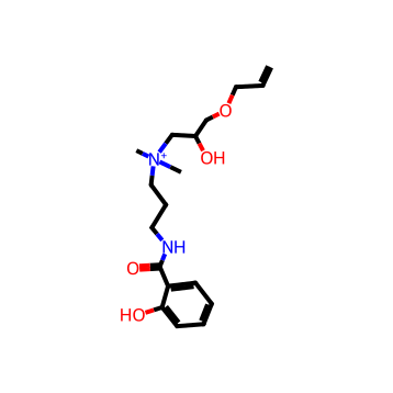 C=CCOCC(O)C[N+](C)(C)CCCNC(=O)c1ccccc1O